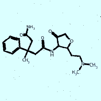 CN(C)CCC1OCC(=O)C1NC(=O)CC(C)(CC(N)=O)c1ccccc1